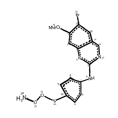 COc1cc2nc(Nc3ccc(SOON)cc3)ncc2cc1Br